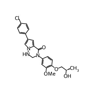 COc1cc(N2CNn3cc(-c4ccc(Cl)cc4)cc3C2=O)ccc1OC[C@@H](C)O